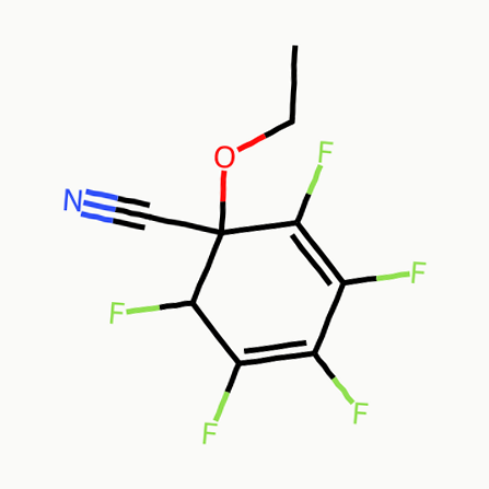 CCOC1(C#N)C(F)=C(F)C(F)=C(F)C1F